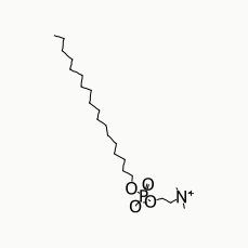 CCCCCCCCCCCCCCCCCCOP(=O)([O-])OCC[N+](C)(C)C